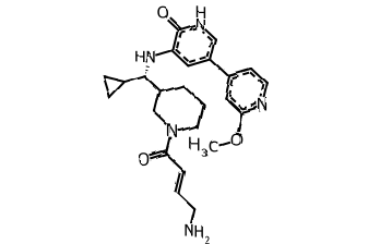 COc1cc(-c2c[nH]c(=O)c(N[C@@H](C3CC3)C3CCCN(C(=O)/C=C/CN)C3)c2)ccn1